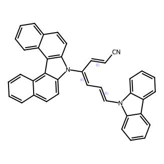 N#C/C=C/C(=C\C=C\n1c2ccccc2c2ccccc21)n1c2ccc3ccccc3c2c2c3ccccc3ccc21